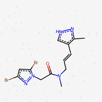 Cc1n[nH]cc1/C=C/CN(C)C(=O)Cn1nc(Br)cc1Br